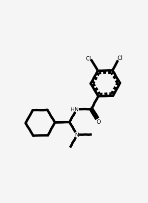 CN(C)C(NC(=O)c1ccc(Cl)c(Cl)c1)C1CCCCC1